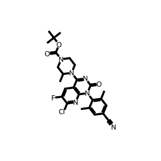 Cc1cc(C#N)cc(C)c1-n1c(=O)nc(N2CCN(C(=O)OC(C)(C)C)CC2C)c2cc(F)c(Cl)nc21